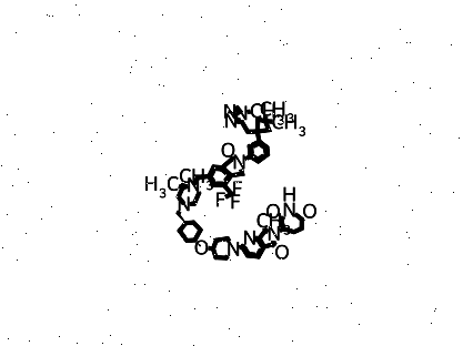 CC1c2nc(N3CCC(O[C@H]4CC[C@H](CN5CCN(Cc6cc7c(c(C(F)(F)F)c6)CN(c6cccc(C8(Cc9nncn9C)CC(C)(C)C8)c6)C7=O)C(C)(C)C5)CC4)CC3)ccc2C(=O)N1C1CCC(=O)NC1=O